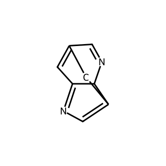 C1=NC2C3=CN=C2C=C1C3